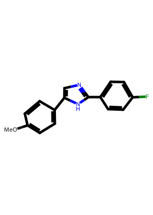 COc1ccc(-c2cnc(-c3ccc(F)cc3)[nH]2)cc1